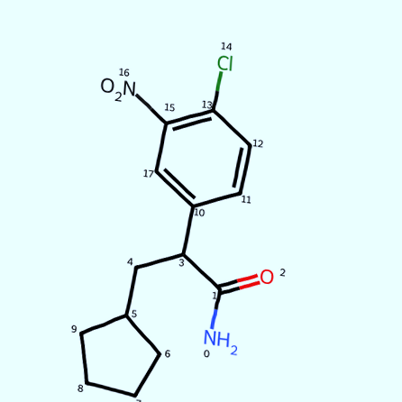 NC(=O)C(CC1CCCC1)c1ccc(Cl)c([N+](=O)[O-])c1